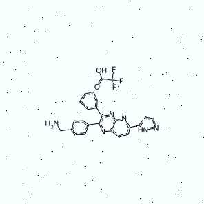 NCc1ccc(-c2nc3ccc(-c4ccn[nH]4)nc3nc2-c2ccccc2)cc1.O=C(O)C(F)(F)F